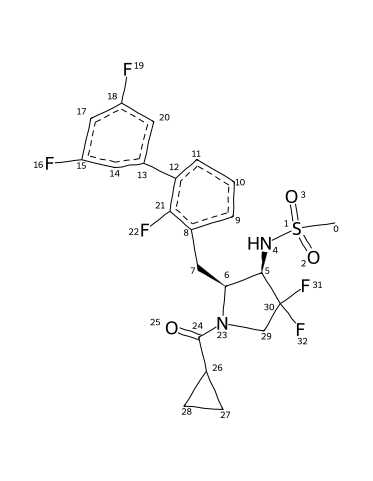 CS(=O)(=O)N[C@@H]1[C@H](Cc2cccc(-c3cc(F)cc(F)c3)c2F)N(C(=O)C2CC2)CC1(F)F